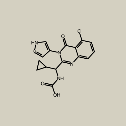 O=C(O)NC(c1nc2cccc(Cl)c2c(=O)n1-c1cn[nH]c1)C1CC1